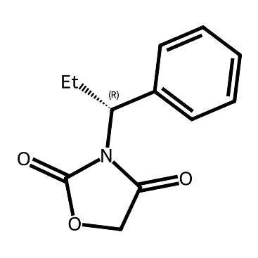 CC[C@H](c1ccccc1)N1C(=O)COC1=O